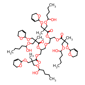 CCCCC(O)OCC(C)(COC1C=CCCO1)C(=O)OCC(COCC(COC(=O)C(C)(COC(O)CCCC)COC1C=CCCO1)OC(=O)C(C)(COC(O)CCCC)COC1C=CCCO1)OC(=O)C(C)(COC(O)CCCC)COC1C=CCCO1